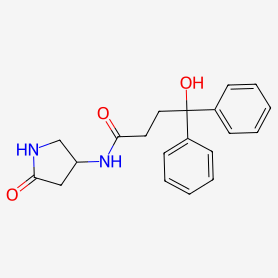 O=C1CC(NC(=O)CCC(O)(c2ccccc2)c2ccccc2)CN1